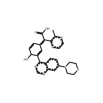 Cc1nccnc1/C(C(=O)O)=C1/C=CC(O)C(c2ncnc3cc(N4CCOCC4)ccc23)=C1